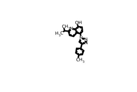 Cc1ccc(-c2cn(-c3ccc(O)c4nc(C(C)C)ccc34)nn2)cc1